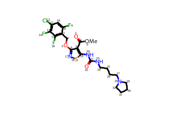 COC(=O)c1c(OCc2c(F)cc(Cl)c(F)c2F)nsc1NC(=O)NCCCCN1CCCC1